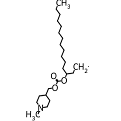 [CH2]CC(CCCCCCCCCCCC)OC(=O)OCC1CCN(C)CC1